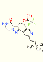 CC(C)(C)/C=C/c1cc2c(cn1)CCc1c-2nn2c1C(=O)NCC2.O=C(O)C(F)(F)F